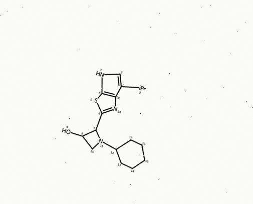 CC(C)c1c[nH]c2sc(C3C(O)CN3C3CCCCC3)nc12